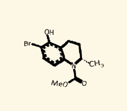 COC(=O)N1c2ccc(Br)c(O)c2CC[C@@H]1C